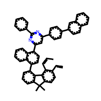 C=Cc1ccc2c(c1/C=C\C)-c1c(-c3ccc(-c4cc(-c5ccc(-c6ccc7ccccc7c6)cc5)nc(-c5ccccc5)n4)c4ccccc34)cccc1C2(C)C